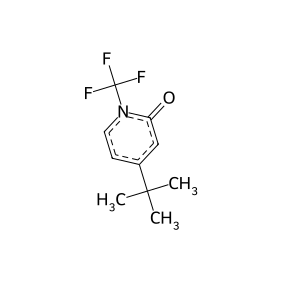 CC(C)(C)c1ccn(C(F)(F)F)c(=O)c1